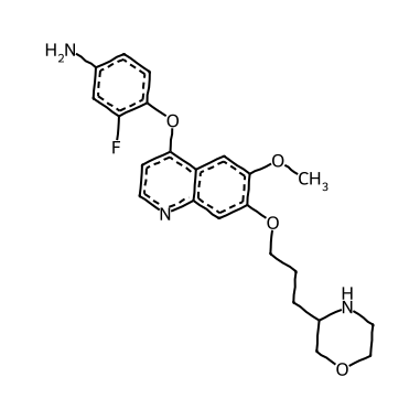 COc1cc2c(Oc3ccc(N)cc3F)ccnc2cc1OCCCC1COCCN1